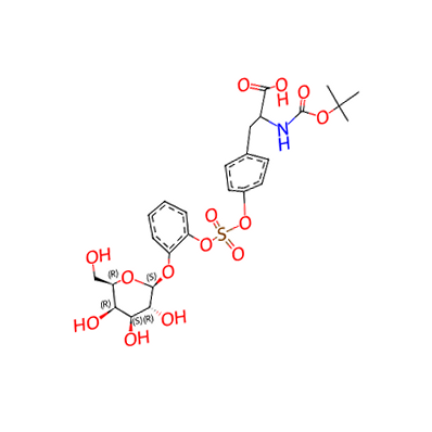 CC(C)(C)OC(=O)NC(Cc1ccc(OS(=O)(=O)Oc2ccccc2O[C@@H]2O[C@H](CO)[C@H](O)[C@H](O)[C@H]2O)cc1)C(=O)O